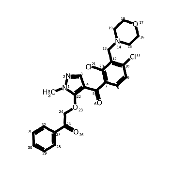 Cn1ncc(C(=O)c2ccc(Cl)c(CN3CCOCC3)c2Cl)c1OCC(=O)c1ccccc1